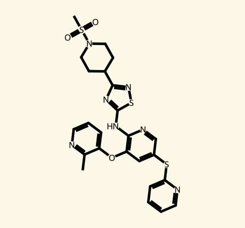 Cc1ncccc1Oc1cc(Sc2ccccn2)cnc1Nc1nc(C2CCN(S(C)(=O)=O)CC2)ns1